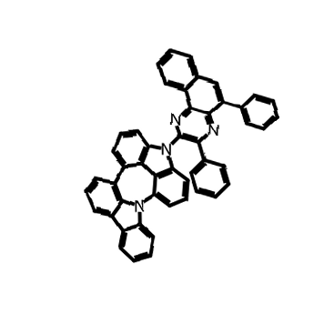 c1ccc(-c2nc3c(-c4ccccc4)cc4ccccc4c3nc2-n2c3cccc4c5cccc6c7ccccc7n(c7cccc2c7c43)c56)cc1